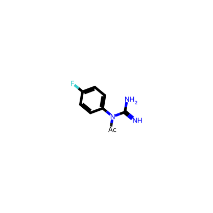 CC(=O)N(C(=N)N)c1ccc(F)cc1